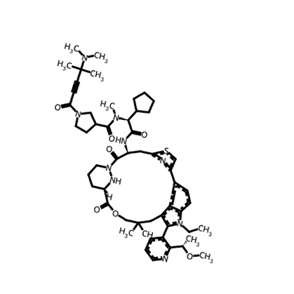 CCn1c(-c2cccnc2[C@H](C)OC)c2c3cc(ccc31)-c1csc(n1)C[C@H](NC(=O)[C@H](C1CCCC1)N(C)C(=O)C1CCN(C(=O)C#CC(C)(C)N(C)C)C1)C(=O)N1CCC[C@H](N1)C(=O)OCC(C)(C)C2